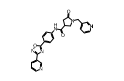 O=C(Nc1ccc(-c2nc(-c3cccnc3)no2)cc1)C1CC(=O)N(Cc2cccnc2)C1